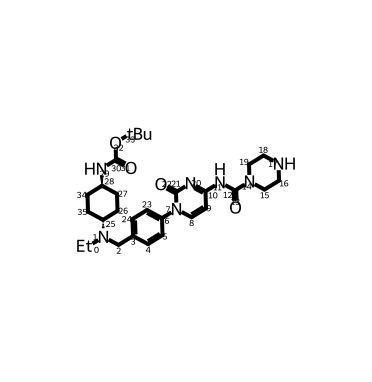 CCN(Cc1ccc(-n2ccc(NC(=O)N3CCNCC3)nc2=O)cc1)[C@H]1CC[C@H](NC(=O)OC(C)(C)C)CC1